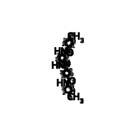 CC1CCC(NC(=O)c2ccc(-c3nc4cc(NC(=O)C5CCC(C)CC5)ccc4[nH]3)cc2)CC1